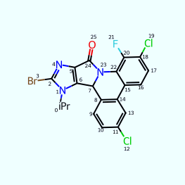 CC(C)n1c(Br)nc2c1C1c3ccc(Cl)cc3-c3ccc(Cl)c(F)c3N1C2=O